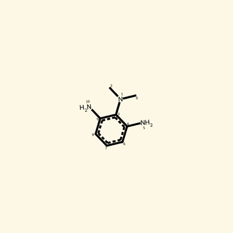 CN(C)c1c(N)cccc1N